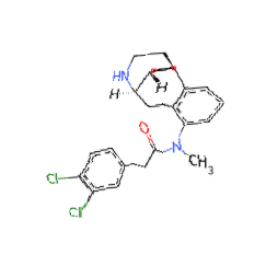 CN(C(=O)Cc1ccc(Cl)c(Cl)c1)c1cccc2c1C[C@H]1NCC[C@@]23CCCC[C@@H]13